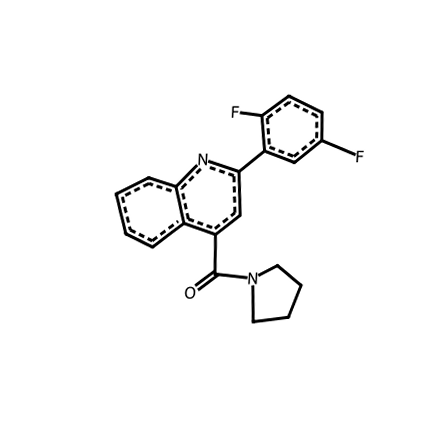 O=C(c1cc(-c2cc(F)ccc2F)nc2ccccc12)N1CCCC1